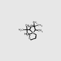 CC(C(C)(C)C)[Si]1(C(C)C(C)(C)C)CCCO[SiH2]1